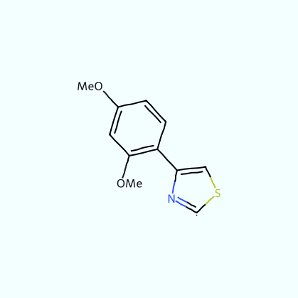 COc1ccc(-c2cs[c]n2)c(OC)c1